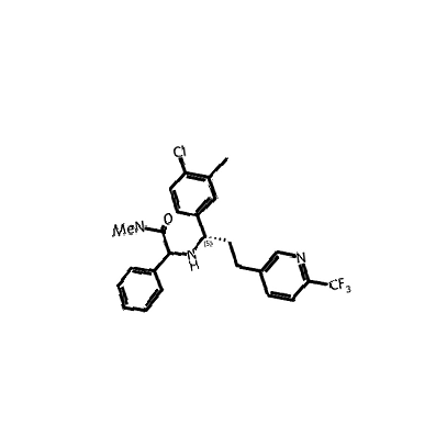 CNC(=O)C(N[C@@H](CCc1ccc(C(F)(F)F)nc1)c1ccc(Cl)c(C)c1)c1ccccc1